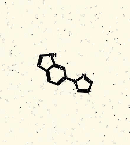 [c]1cnn(-c2ccc3cc[nH]c3c2)c1